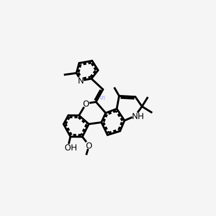 COc1c(O)ccc2c1-c1ccc3c(c1/C(=C/c1cccc(C)n1)O2)C(C)=CC(C)(C)N3